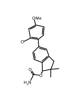 COc1ccc(-c2ccc3c(c2)CC(C)(C)[C@H]3OC(N)=O)c(Cl)c1